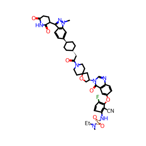 CCN(C)S(=O)(=O)Nc1ccc(F)c(Oc2ccc3ncn([C@H]4COC5(CCN(C(=O)C[C@H]6CC[C@H](c7ccc8c(C9CCC(=O)NC9=O)nn(C)c8c7)CC6)CC5)C4)c(=O)c3c2)c1C#N